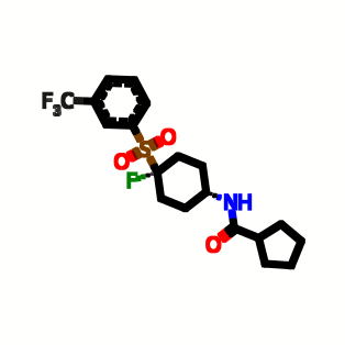 O=C(N[C@H]1CC[C@](F)(S(=O)(=O)c2cccc(C(F)(F)F)c2)CC1)C1CCCC1